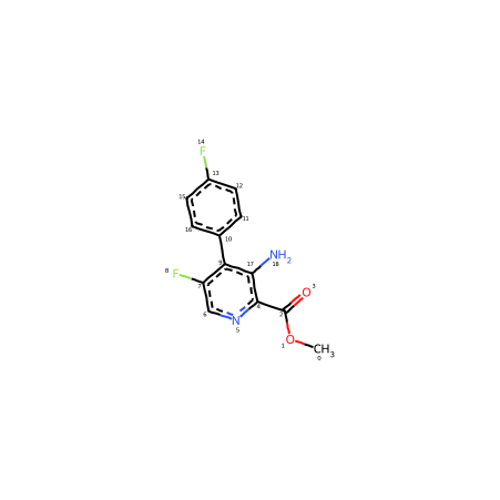 COC(=O)c1ncc(F)c(-c2ccc(F)cc2)c1N